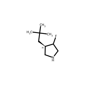 CC(C)(C)C[C@@H]1CNCC1F